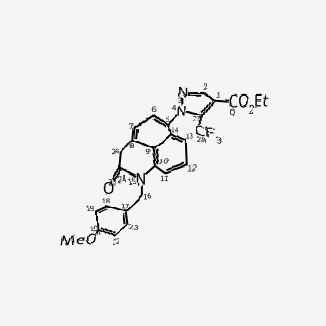 CCOC(=O)c1cnn(-c2ccc3c4c(cccc24)N(Cc2ccc(OC)cc2)C(=O)C3)c1C(F)(F)F